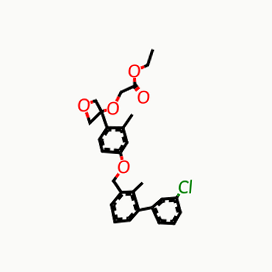 CCOC(=O)COC1(c2ccc(OCc3cccc(-c4cccc(Cl)c4)c3C)cc2C)COC1